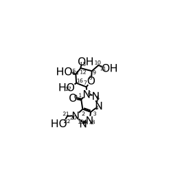 O=c1c2c(nnn1C1OC(CO)C(O)C(O)C1O)nnn2CO